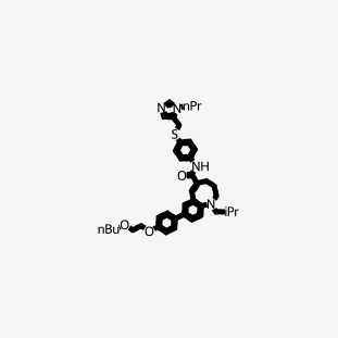 CCCCOCCOc1ccc(-c2ccc3c(c2)C=C(C(=O)Nc2ccc(SCc4cncn4CCC)cc2)CCCN3CC(C)C)cc1